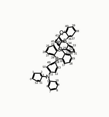 c1ccc(N(c2ccccc2)c2ccc(B3c4ccccc4[Si]4(c5ccccc53)c3ccccc3B3c5ccccc5Oc5cccc4c53)cc2)cc1